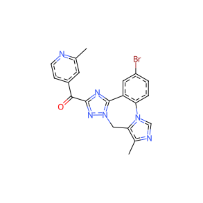 Cc1cc(C(=O)c2nc3n(n2)Cc2c(C)ncn2-c2ccc(Br)cc2-3)ccn1